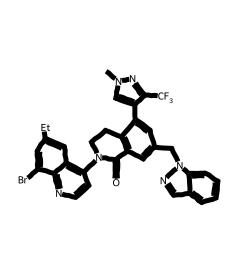 CCc1cc(Br)c2nccc(N3CCc4c(cc(Cn5ncc6ccccc65)cc4-c4cn(C)nc4C(F)(F)F)C3=O)c2c1